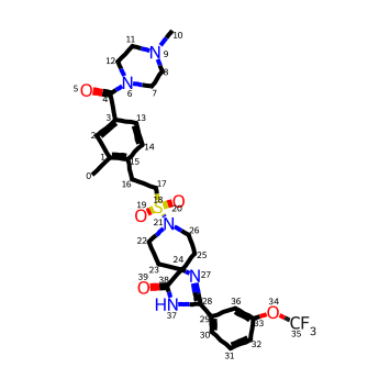 Cc1cc(C(=O)N2CCN(C)CC2)ccc1CCS(=O)(=O)N1CCC2(CC1)N=C(c1cccc(OC(F)(F)F)c1)NC2=O